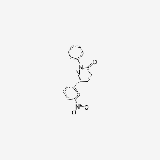 O=c1ccc(-c2cccc([N+](=O)[O-])c2)nn1-c1ccccc1